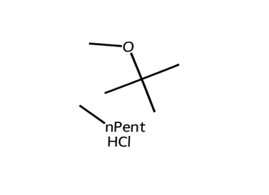 CCCCCC.COC(C)(C)C.Cl